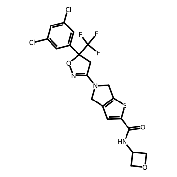 O=C(NC1COC1)c1cc2c(s1)CN(C1=NOC(c3cc(Cl)cc(Cl)c3)(C(F)(F)F)C1)C2